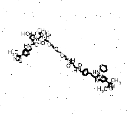 Cc1ncsc1-c1ccc(CNC(=O)[C@H]2C[C@H](O)CN2C(=O)[C@H](NC(=O)COCCOCCOCCNC(=O)CCC(=O)Nc2ccc(CCc3nc4cc(-c5c(C)noc5C)ccn4c3NC3CCCCC3)cc2)C(C)(C)C)cc1